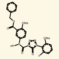 CCCN(C(=O)n1nnn(-c2c(F)cccc2OC)c1=O)c1ccc(OC)c(C(=O)OCc2ccccc2)c1